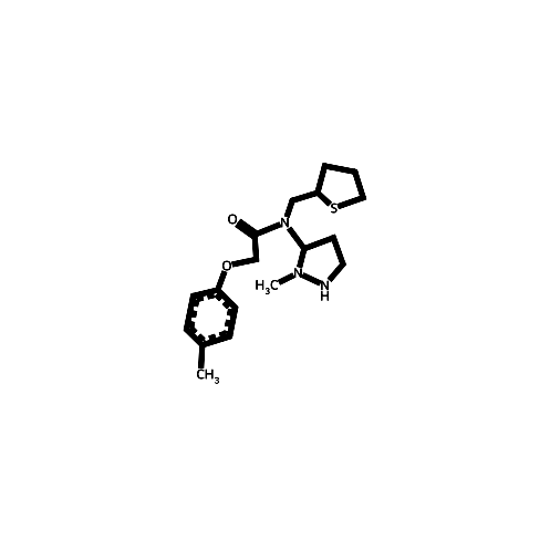 Cc1ccc(OCC(=O)N(CC2CCCS2)C2CCNN2C)cc1